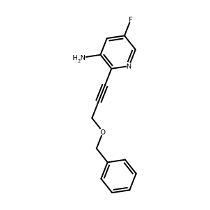 Nc1cc(F)cnc1C#CCOCc1ccccc1